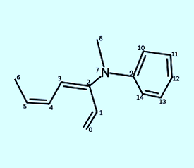 C=C/C(=C\C=C/C)N(C)c1ccccc1